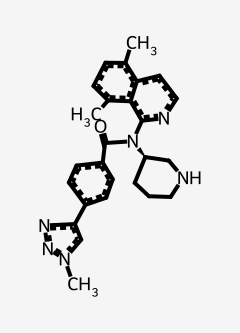 Cc1ccc(C)c2c(N(C(=O)c3ccc(-c4cn(C)nn4)cc3)[C@@H]3CCCNC3)nccc12